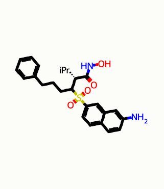 CC(C)[C@H](C(=O)NO)C(CCCc1ccccc1)S(=O)(=O)c1ccc2ccc(N)cc2c1